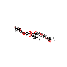 Cc1cc(OC(=O)c2ccc(OCCCCOCCC3(C)CO3)cc2)ccc1CC(=O)c1ccc(OCCCCOCCC2(C)CO2)cc1